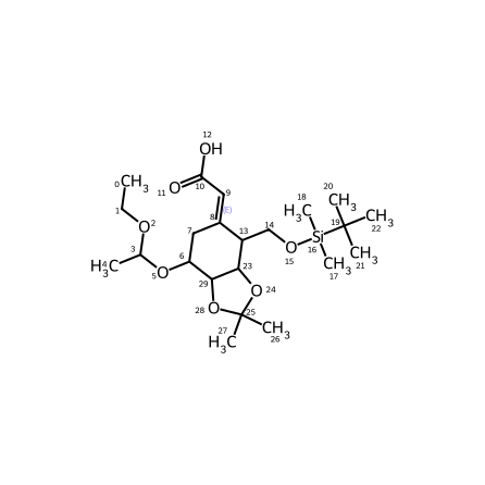 CCOC(C)OC1C/C(=C\C(=O)O)C(CO[Si](C)(C)C(C)(C)C)C2OC(C)(C)OC12